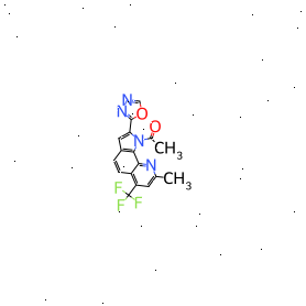 CC(=O)n1c(-c2nnco2)cc2ccc3c(C(F)(F)F)cc(C)nc3c21